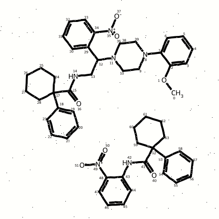 COc1ccccc1N1CCN(C(CNC(=O)C2(c3ccccc3)CCCCC2)c2ccccc2[N+](=O)[O-])CC1.O=C(Nc1ccccc1[N+](=O)[O-])C1(c2ccccc2)CCCCC1